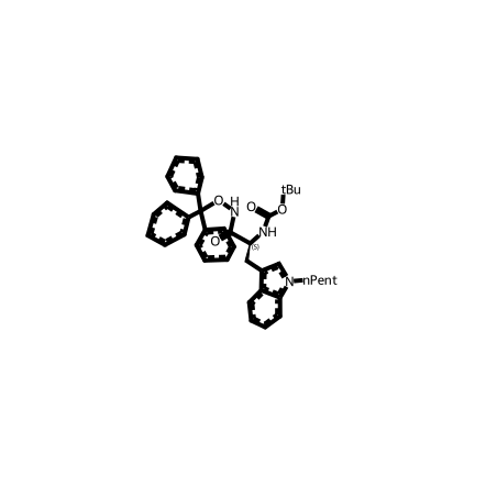 CCCCCn1cc(C[C@H](NC(=O)OC(C)(C)C)C(=O)NOC(c2ccccc2)(c2ccccc2)c2ccccc2)c2ccccc21